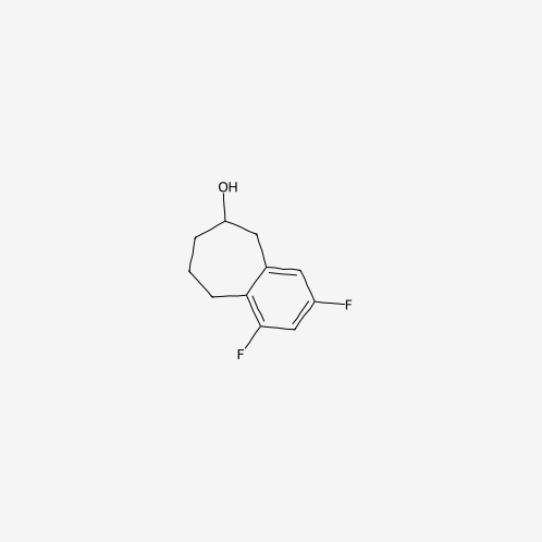 OC1CCCc2c(F)cc(F)cc2C1